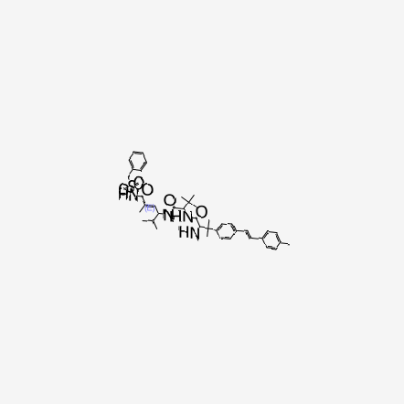 CNC(C(=O)NC(C(=O)N(C)C(/C=C(\C)C(=O)NS(=O)(=O)Cc1ccccc1)C(C)C)C(C)(C)C)C(C)(C)c1ccc(C=Cc2ccc(C)cc2)cc1